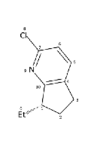 CC[C@H]1CCc2ccc(Cl)nc21